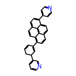 C1=CC(c2ccc3ccc4c(-c5ccncc5)ccc5ccc2c3c54)=CC(c2cccnc2)C1